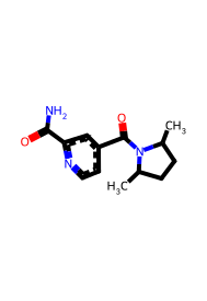 CC1CCC(C)N1C(=O)c1[c]c(C(N)=O)ncc1